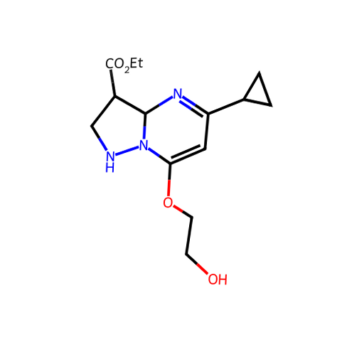 CCOC(=O)C1CNN2C(OCCO)=CC(C3CC3)=NC12